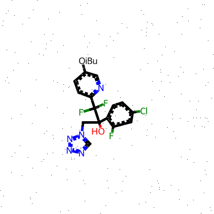 CC(C)COc1ccc(C(F)(F)C(O)(Cn2cnnn2)c2ccc(Cl)cc2F)nc1